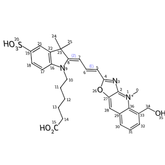 C[n+]1c2nc(/C=C/C=C3\N(CCCCCC(=O)O)c4ccc(S(=O)(=O)O)cc4C3(C)C)oc2cc2cccc(CO)c21